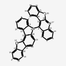 c1ccc2c(-n3c4ccccc4c4c5oc6ccccc6c5ccc43)c3c(nc2c1)oc1ccccc13